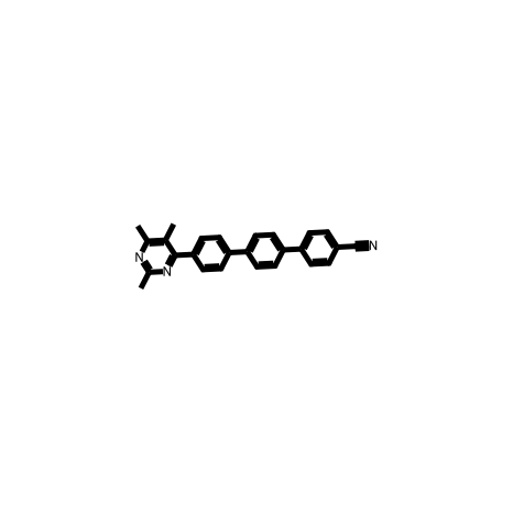 Cc1nc(C)c(C)c(-c2ccc(-c3ccc(-c4ccc(C#N)cc4)cc3)cc2)n1